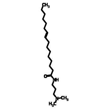 CCCCCC/C=C/CCCCCCCC(=O)NCCCN(C)C